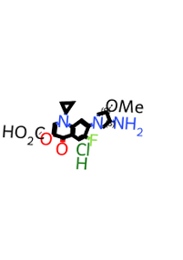 CO[C@H]1CN(c2cc3c(cc2F)c(=O)c(OC(=O)O)cn3C2CC2)C[C@@H]1N.Cl